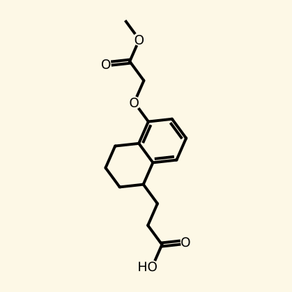 COC(=O)COc1cccc2c1CCCC2CCC(=O)O